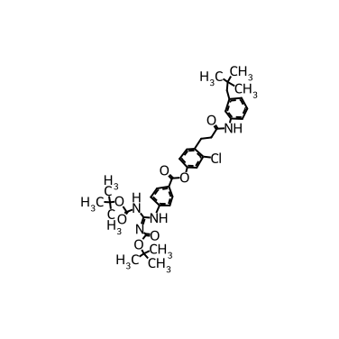 CC(C)(C)Cc1cccc(NC(=O)CCc2ccc(OC(=O)c3ccc(N/C(=N\C(=O)OC(C)(C)C)NC(=O)OC(C)(C)C)cc3)cc2Cl)c1